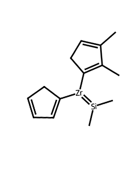 CC1=CC[C]([Zr]([C]2=CC=CC2)=[Si](C)C)=C1C